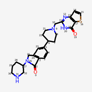 O=C1c2ccc(C3CCN(Cc4nc5ccsc5c(=O)[nH]4)CC3)cc2CN1C1CCCNC1